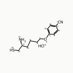 Cl.N#Cc1ccc(OCCCC[C@H](N)CS)cc1